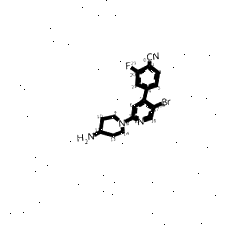 N#Cc1ccc(-c2cc(N3CCC(N)CC3)ncc2Br)cc1F